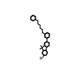 CC1(C)c2cc(Br)ccc2-c2ccc(-c3cccc(CCCCCCc4ccccc4)c3)cc21